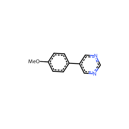 COc1ccc(-c2cncnc2)cc1